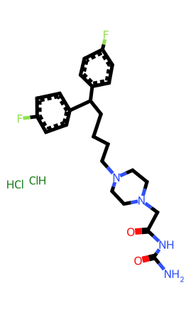 Cl.Cl.NC(=O)NC(=O)CN1CCN(CCCCC(c2ccc(F)cc2)c2ccc(F)cc2)CC1